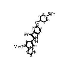 COc1cc(-c2[nH]c3ccc(OC4CCN(C(C)C)CC4)nc3c2C(C)C)cn2ncnc12